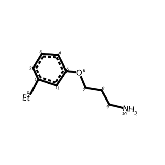 CCc1cccc(OCCCN)c1